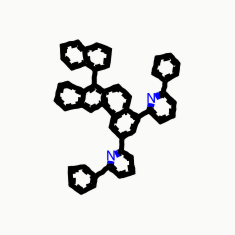 c1ccc(-c2cccc(-c3cc(-c4cccc(-c5ccccc5)n4)c4ccc5c(-c6cccc7ccccc67)c6ccccc6cc5c4c3)n2)cc1